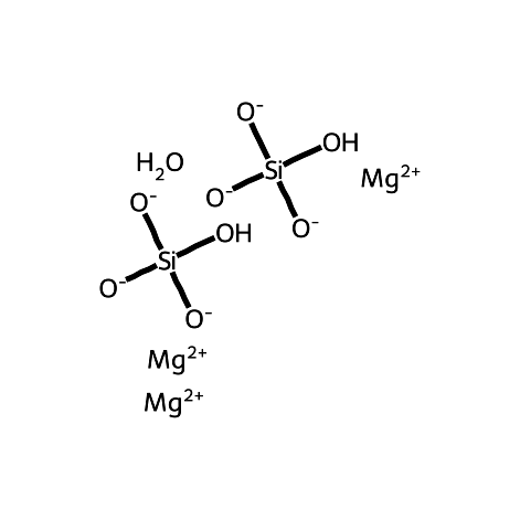 O.[Mg+2].[Mg+2].[Mg+2].[O-][Si]([O-])([O-])O.[O-][Si]([O-])([O-])O